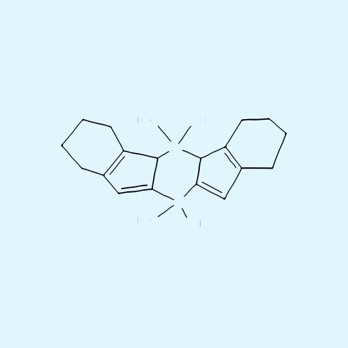 C[Si]1(C)C2=CC3=C(CCCC3)[CH]2[Zr]([CH3])([CH3])[CH]2C1=CC1=C2CCCC1